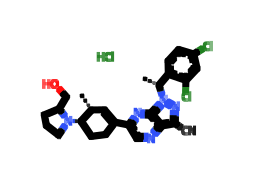 C[C@@H]1C=C(c2cnc3c(C#N)nn([C@H](C)c4ccc(Cl)cc4Cl)c3n2)CC[C@@H]1N1CCCC1CO.Cl